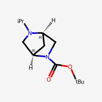 CC(C)N1C[C@H]2C[C@@H]1CN2C(=O)OC(C)(C)C